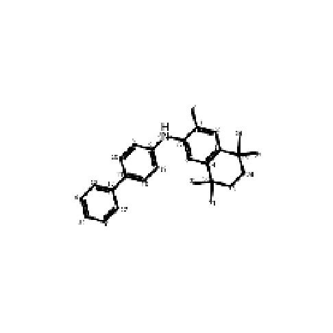 Cc1cc2c(cc1Nc1ccc(-c3ccccc3)cc1)C(C)(C)CCC2(C)C